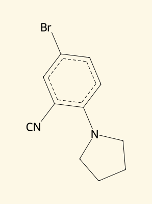 [C-]#[N+]c1cc(Br)ccc1N1CCCC1